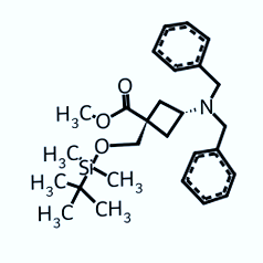 COC(=O)[C@]1(CO[Si](C)(C)C(C)(C)C)C[C@H](N(Cc2ccccc2)Cc2ccccc2)C1